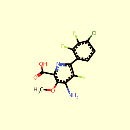 COc1c(C(=O)O)nc(-c2ccc(Cl)c(F)c2F)c(F)c1N